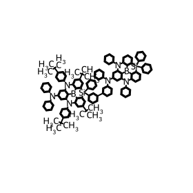 CC(C)(C)c1ccc(N2c3cc(N(c4ccccc4)c4ccccc4)cc4c3B3c5c2cc(C(C)(C)C)cc5[Si](c2ccccc2)(c2cccc(-c5cccc(N(c6ccccc6)c6cc7c8c(c6)N(c6ccccc6)c6cccc9c6B8c6c(cccc6[Si]9(c6ccccc6)c6ccccc6)N7c6ccccc6)c5)c2)c2cc(C(C)(C)C)cc(c23)N4c2ccc(C(C)(C)C)cc2)cc1